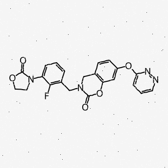 O=C1Oc2cc(Oc3cccnn3)ccc2CN1Cc1cccc(N2CCOC2=O)c1F